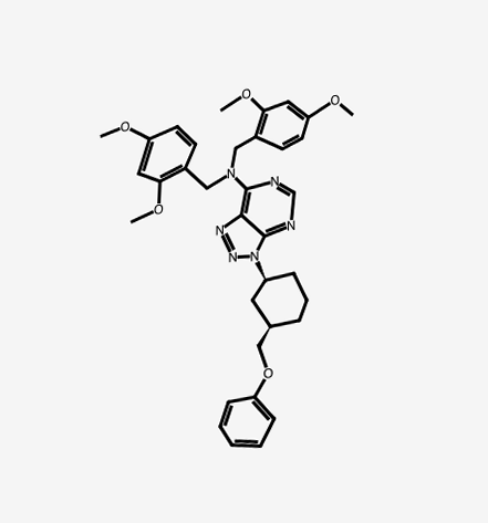 COc1ccc(CN(Cc2ccc(OC)cc2OC)c2ncnc3c2nnn3[C@H]2CCC[C@@H](COc3ccccc3)C2)c(OC)c1